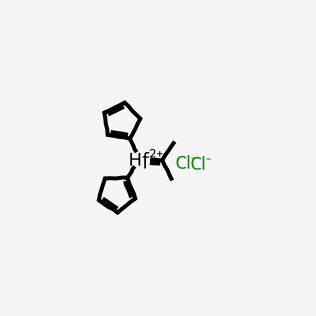 C[C](C)=[Hf+2]([C]1=CC=CC1)[C]1=CC=CC1.[Cl-].[Cl-]